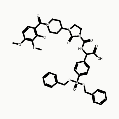 COc1ccc(C(=O)N2CCC(N3CCN(C(=O)NC(C(=O)O)c4ccc(P(=O)(OCc5ccccc5)OCc5ccccc5)cc4)C3=O)CC2)c(Cl)c1OC